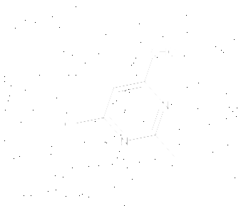 Cc1nc(Cl)cc(C=O)n1